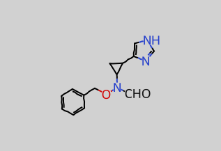 O=CN(OCc1ccccc1)C1CC1c1c[nH]cn1